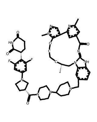 Cc1cc2cc(n1)-c1cnn(C)c1OCCC[C@@H](C)CN1/C(=N/C2=O)Nc2ccc(CN3CCC(N4CCN(C(=O)[C@@H]5CCN(c6cc(F)c([C@H]7CCC(=O)NC7=O)c(F)c6)C5)CC4)CC3)cc21